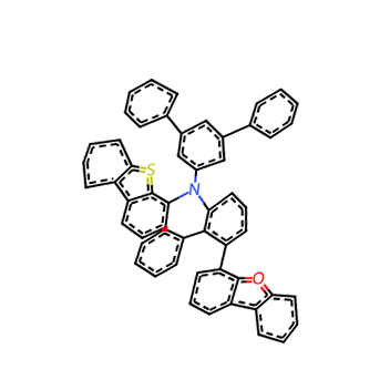 c1ccc(-c2cc(-c3ccccc3)cc(N(c3cccc(-c4cccc5c4oc4ccccc45)c3-c3ccccc3)c3cccc4c3sc3ccccc34)c2)cc1